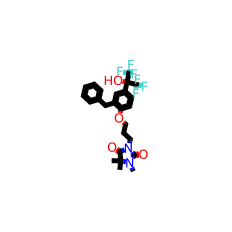 CN1C(=O)N(CCCOc2ccc(C(O)(C(F)(F)F)C(F)(F)F)cc2Cc2ccccc2)C(=O)C1(C)C